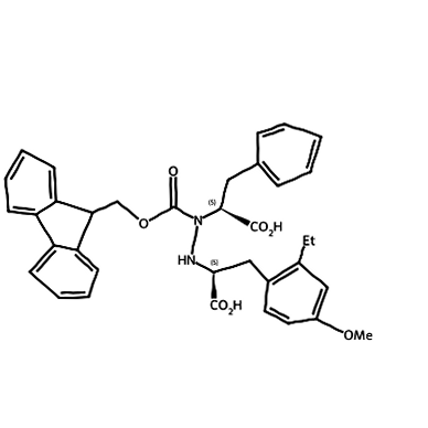 CCc1cc(OC)ccc1C[C@H](NN(C(=O)OCC1c2ccccc2-c2ccccc21)[C@@H](Cc1ccccc1)C(=O)O)C(=O)O